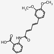 COc1ccc(C=CC=CC(=O)Nc2ccccc2C(=O)O)cc1OC